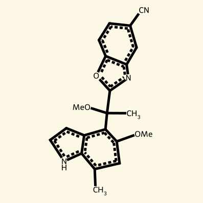 COc1cc(C)c2[nH]ccc2c1C(C)(OC)c1nc2cc(C#N)ccc2o1